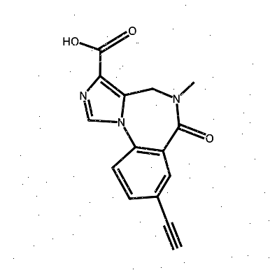 C#Cc1ccc2c(c1)C(=O)N(C)Cc1c(C(=O)O)ncn1-2